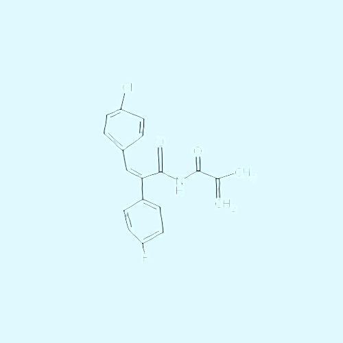 C=C(C)C(=O)NC(=O)/C(=C\c1ccc(Cl)cc1)c1ccc(F)cc1